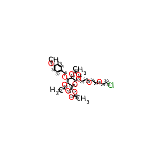 COc1ccc(CO[C@H]2[C@@H](OC(C)=O)[C@@H](COC(C)=O)O[C@@H](OCCOCCOCCCl)[C@@H]2OC(C)=O)cc1